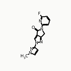 Cn1ccc(-n2cc3c(n2)CN(c2cccc(F)n2)C3=O)n1